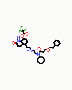 O=C(CCOCCc1ccccc1)N(CCNCCc1ccc(OC(=O)C(F)(F)F)c2[nH]c(=O)ccc12)C1CCCCCC1